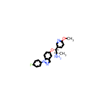 COc1ccc([C@@H](Oc2ccc3c(cnn3-c3ccc(F)cc3)c2)[C@H](C)N)cn1